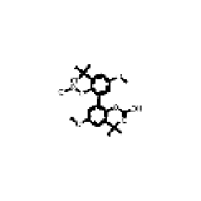 COc1cc(-c2cc(OC)cc(C(C)(C)C)c2OP(Cl)Cl)c(OC(=O)O)c(C(C)(C)C)c1